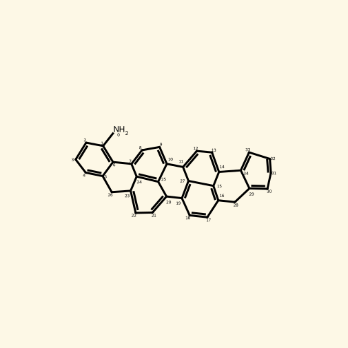 Nc1cccc2c1-c1ccc3c4ccc5c6c(ccc(c7ccc(c1c73)C2)c64)Cc1ccccc1-5